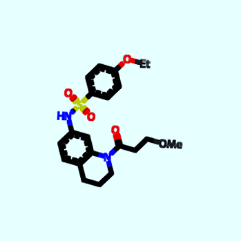 CCOc1ccc(S(=O)(=O)Nc2ccc3c(c2)N(C(=O)CCOC)CCC3)cc1